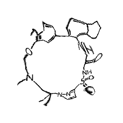 CN1CCOc2cc(ccn2)-c2ccc3c(c2NC(=O)NS(=O)(=O)c2ccn(n2)C(C)(C)C1)CCC3